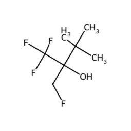 CC(C)(C)C(O)(CF)C(F)(F)F